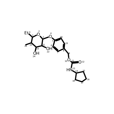 CCC1OC(Oc2ccc(COC(=O)NC3CCCC3)cc2)C(O)C(O)C1C